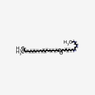 CC/C=C\C/C=C\C/C=C\CCCCCCCC(=O)OCCCCCCCCCCCCCCCCCCCCCC(C)CC